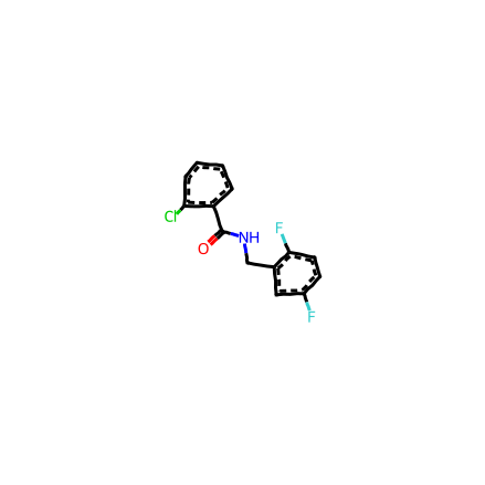 O=C(NCc1cc(F)ccc1F)c1ccccc1Cl